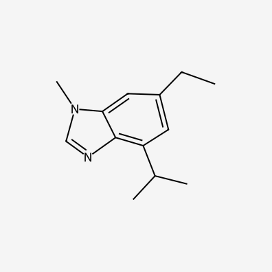 CCc1cc(C(C)C)c2ncn(C)c2c1